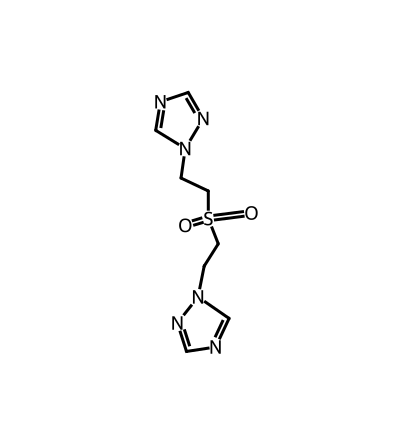 O=S(=O)(CCn1cncn1)CCn1cncn1